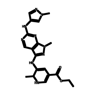 CCOC(=O)C1=CNC(C)C(Nc2nn(C)c3nc(Nc4cnn(C)c4)ncc23)=C1